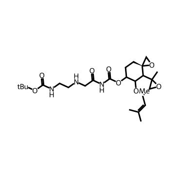 COC1C(OC(=O)NC(=O)CNCCNC(=O)OC(C)(C)C)CC[C@]2(CO2)C1C1(C)O[C@@H]1CC=C(C)C